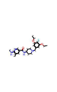 CCOc1cc(CN2CCC(NC(=O)c3cnc(NC)c(C)c3)CC2)cc(OCC)c1F